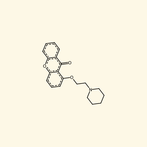 O=c1c2ccccc2oc2cccc(OCCN3CCCCC3)c12